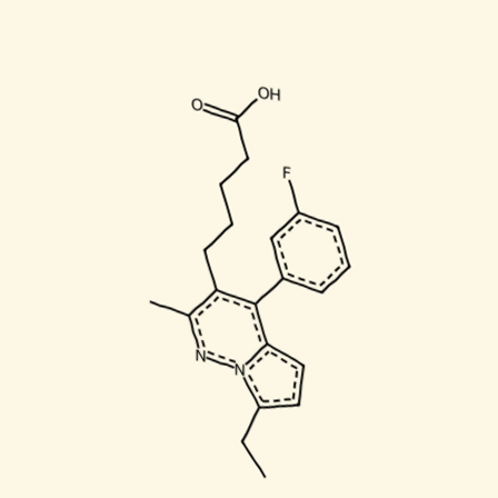 CCc1ccc2c(-c3cccc(F)c3)c(CCCCC(=O)O)c(C)nn12